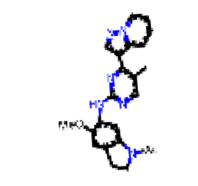 COc1cc2c(cc1Nc1ncc(C)c(-c3cnn4ccccc34)n1)N(C(C)=O)CC2